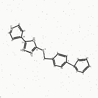 c1ccc(-c2ccc(CSc3nnc(-c4ccncc4)o3)cc2)cc1